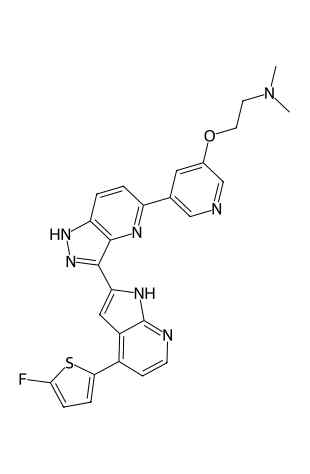 CN(C)CCOc1cncc(-c2ccc3[nH]nc(-c4cc5c(-c6ccc(F)s6)ccnc5[nH]4)c3n2)c1